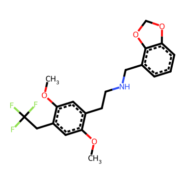 COc1cc(CC(F)(F)F)c(OC)cc1CCNCc1cccc2c1OCO2